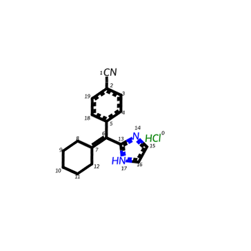 Cl.N#Cc1ccc(C(=C2CCCCC2)c2ncc[nH]2)cc1